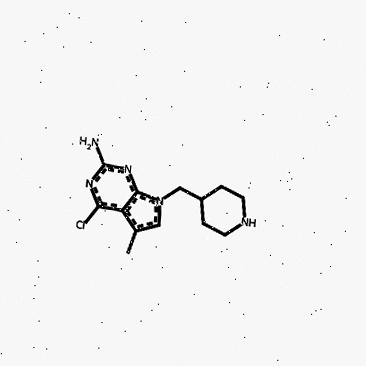 Cc1cn(CC2CCNCC2)c2nc(N)nc(Cl)c12